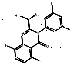 CC[C@H](N)c1nc2c(F)ccc(F)c2c(=O)n1-c1cc(F)cc(F)c1